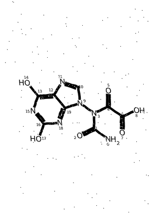 NC(=O)N(C(=O)C(=O)O)n1cnc2c(O)nc(O)nc21